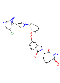 O=C1CC[C@H](N2Cc3cc(O[C@@H]4CCCC[C@@H]4N4CC(c5ncncc5Cl)C4)ccc3C2=O)C(=O)N1